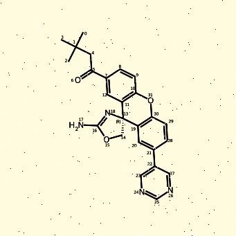 CC(C)(C)CC(=O)c1ccc2c(c1)[C@@]1(COC(N)=N1)c1cc(-c3cncnc3)ccc1O2